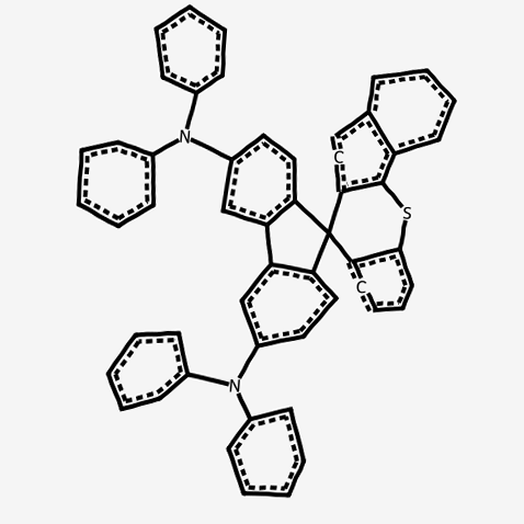 c1ccc(N(c2ccccc2)c2ccc3c(c2)-c2cc(N(c4ccccc4)c4ccccc4)ccc2C32c3ccccc3Sc3c2ccc2ccccc32)cc1